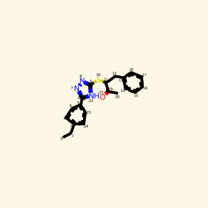 CCc1ccc(-c2nnc(SC(Cc3ccccc3)C(C)=O)[nH]2)cc1